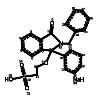 O=C1c2ccccc2C(OCCS(=O)(=O)O)(c2ccccc2)N1Cc1ccccc1.[NaH]